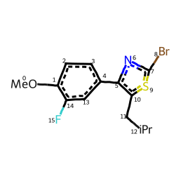 COc1ccc(-c2nc(Br)sc2CC(C)C)cc1F